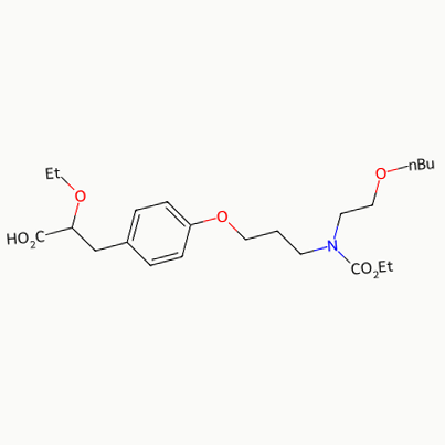 CCCCOCCN(CCCOc1ccc(CC(OCC)C(=O)O)cc1)C(=O)OCC